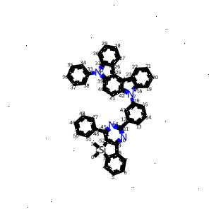 C[Si]1(C)c2ccccc2-c2nc(-c3cccc(-n4c5ccccc5c5c6c7ccccc7n(-c7ccccc7)c6ccc54)c3)nc(-c3ccccc3)c21